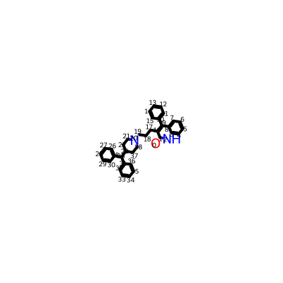 O=c1[nH]c2ccccc2c(-c2ccccc2)c1CCCN1CCC(C(c2ccccc2)c2ccccc2)CC1